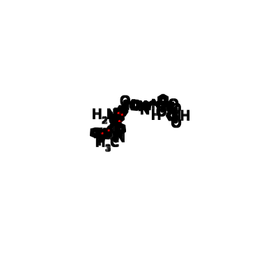 Cc1nc2ccc(-c3ccnc(N)c3)nc2n1-c1ccc(N2C3CCC2CN(CC#Cc2ccc(N4CCC(C(=O)N5CCC(n6cc(CNc7cccc8c7C(=O)N(C7CCC(=O)NC7=O)C8=O)cn6)CC5)CC4)nc2)C3)c(F)c1